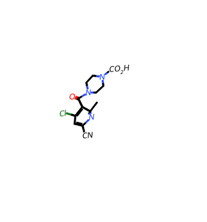 Cc1nc(C#N)cc(Cl)c1C(=O)N1CCN(C(=O)O)CC1